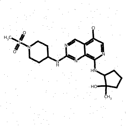 CC1(O)CCCC1Nc1ncc(Cl)c2cnc(NC3CCN(S(C)(=O)=O)CC3)nc12